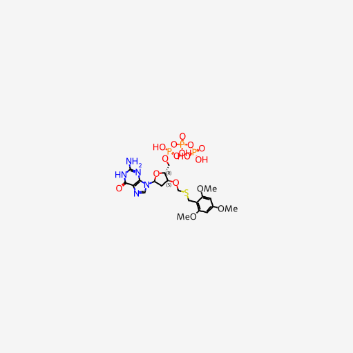 COc1cc(OC)c(CSCO[C@H]2CC(n3cnc4c(=O)[nH]c(N)nc43)O[C@@H]2COP(=O)(O)OP(=O)(O)OP(=O)(O)O)c(OC)c1